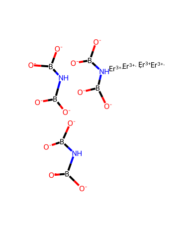 [Er+3].[Er+3].[Er+3].[Er+3].[O-]B([O-])NB([O-])[O-].[O-]B([O-])NB([O-])[O-].[O-]B([O-])NB([O-])[O-]